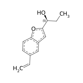 C=Cc1ccc2oc([C@@H](O)CC)cc2c1